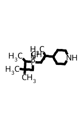 CC(C[PH]1(C)CC(C)(C)C1C)C1CCNCC1